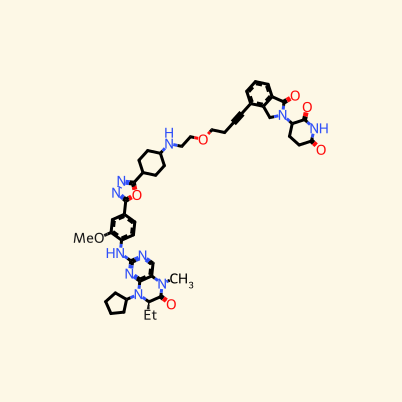 CC[C@@H]1C(=O)N(C)c2cnc(Nc3ccc(-c4nnc(C5CCC(NCCOCCC#Cc6cccc7c6CN(C6CCC(=O)NC6=O)C7=O)CC5)o4)cc3OC)nc2N1C1CCCC1